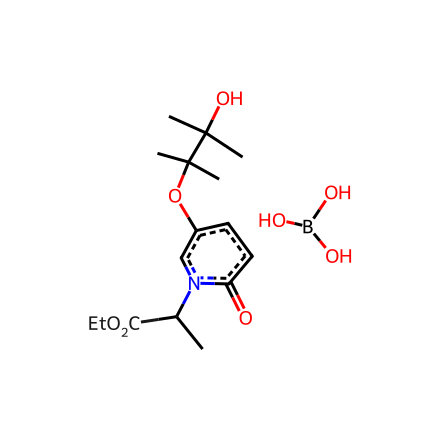 CCOC(=O)C(C)n1cc(OC(C)(C)C(C)(C)O)ccc1=O.OB(O)O